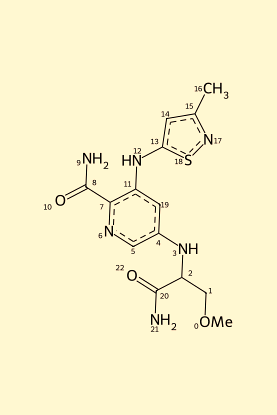 COCC(Nc1cnc(C(N)=O)c(Nc2cc(C)ns2)c1)C(N)=O